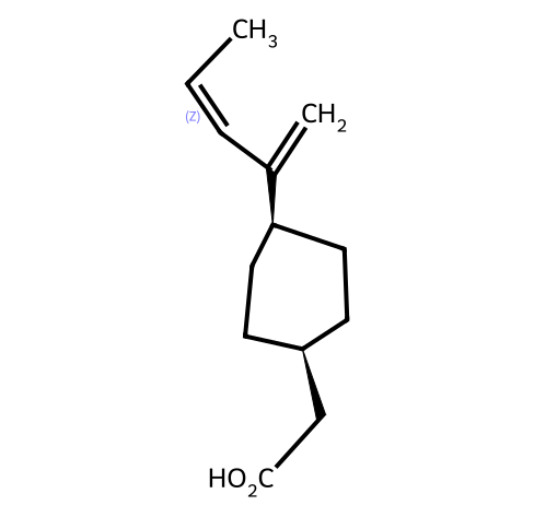 C=C(/C=C\C)[C@H]1CC[C@@H](CC(=O)O)CC1